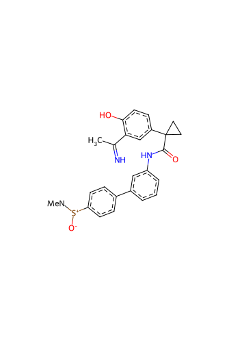 CN[S+]([O-])c1ccc(-c2cccc(NC(=O)C3(c4ccc(O)c(C(C)=N)c4)CC3)c2)cc1